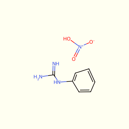 N=C(N)Nc1ccccc1.O=[N+]([O-])O